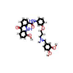 COc1ccc(CN(C)CCCOc2cccc(NC(=O)c3cccc4c(=O)c5cccc(OC)c5[nH]c34)c2)cc1OC